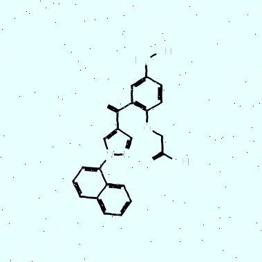 CBc1ccc(OCC(=O)O)c(C(=O)c2cnn(-c3cccc4ccccc34)c2)c1